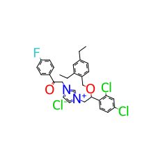 CCc1ccc(COC(C[n+]2ccn(CC(=O)c3ccc(F)cc3)c2)c2ccc(Cl)cc2Cl)c(CC)c1.[Cl-]